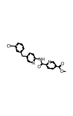 COC(=O)c1ccc(C(=O)Nc2ccc(Cc3cccc(Cl)c3)cn2)nc1